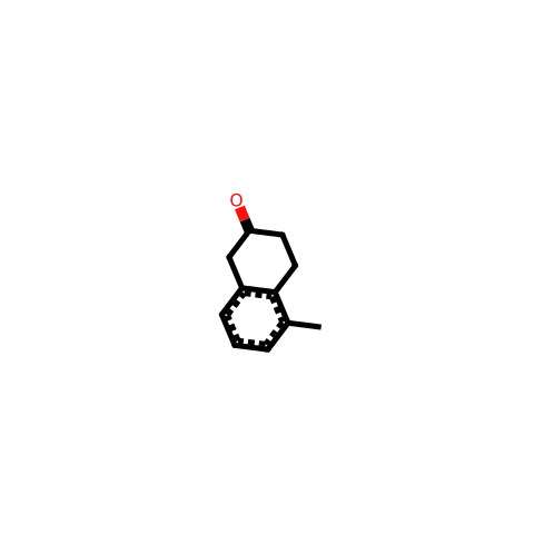 Cc1cccc2c1CCC(=O)C2